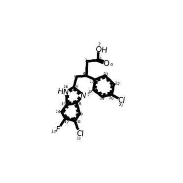 O=C(O)CC(Cc1nc2cc(Cl)c(F)cc2[nH]1)c1ccc(Cl)cc1